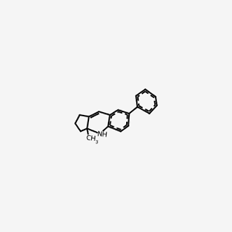 CC12CCCC1=Cc1cc(-c3ccccc3)ccc1N2